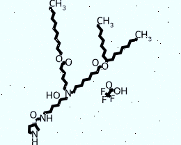 CCCCCCCCCCCOC(=O)CCCCCN(CCCCCCCC(=O)OC(CCCCCCCC)CCCCCCCC)CC(O)CCCCNC(=O)[C@H]1CCNC1.O=C(O)C(F)(F)F